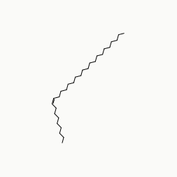 CCCCCCCC/C=C\CCCCCCCCCCCCCCCCCCC